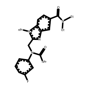 CCCC(=O)N(Cc1nc2cc(C(=O)N(CC)CC)ccc2n1CCC)c1cccc(F)c1